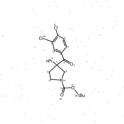 CCCC1(C(=O)c2ccc(Cl)c(Cl)c2)CCN(C(=O)OC(C)(C)C)C1